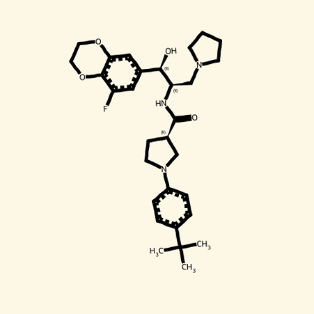 CC(C)(C)c1ccc(N2CC[C@@H](C(=O)N[C@H](CN3CCCC3)[C@H](O)c3cc(F)c4c(c3)OCCO4)C2)cc1